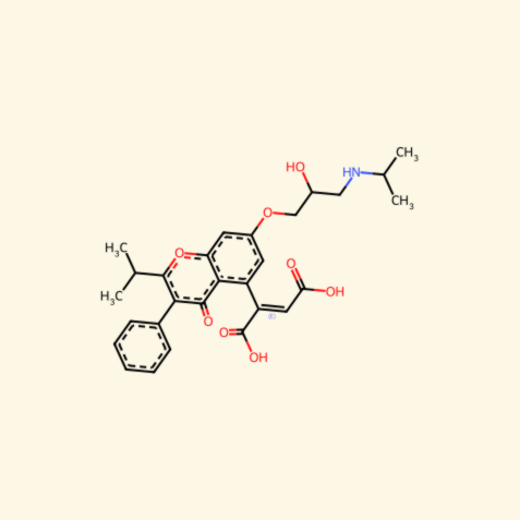 CC(C)NCC(O)COc1cc(/C(=C\C(=O)O)C(=O)O)c2c(=O)c(-c3ccccc3)c(C(C)C)oc2c1